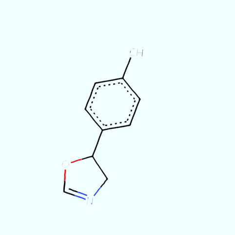 Cc1ccc(C2CN=CO2)cc1